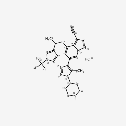 Cc1c(-c2cc(OC(C)c3ccn(C(F)(F)F)n3)c3c(C#N)cnn3c2)nnn1C1CCNCC1.Cl